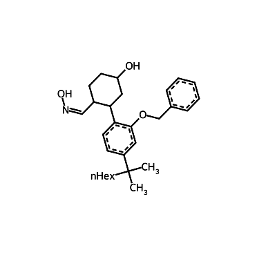 CCCCCCC(C)(C)c1ccc(C2CC(O)CCC2/C=N\O)c(OCc2ccccc2)c1